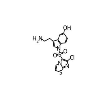 NCCc1cn(S(=O)(=O)c2c(Cl)nc3sccn23)c2ccc(O)cc12